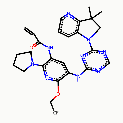 C=CC(=O)Nc1cc(Nc2ncnc(N3CC(C)(C)c4ncccc43)n2)c(OCC(F)(F)F)nc1N1CCCC1